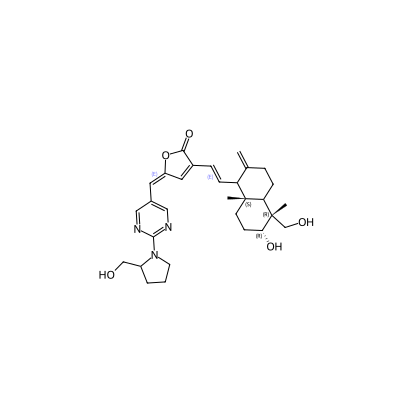 C=C1CCC2[C@](C)(CC[C@@H](O)[C@@]2(C)CO)C1/C=C/C1=CC(=C\c2cnc(N3CCCC3CO)nc2)/OC1=O